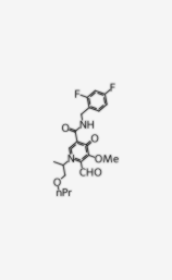 CCCOCC(C)n1cc(C(=O)NCc2ccc(F)cc2F)c(=O)c(OC)c1C=O